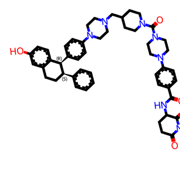 O=C1CCC(NC(=O)c2ccc(N3CCN(C(=O)N4CCC(CN5CCN(c6ccc([C@@H]7c8ccc(O)cc8CC[C@@H]7c7ccccc7)cc6)CC5)CC4)CC3)cc2)C(=O)N1